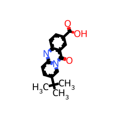 CC(C)(C)c1ccc2nc3ccc(C(=O)O)cc3c(=O)n2c1